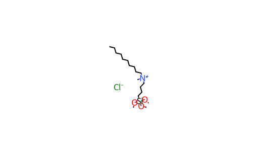 CCCCCCCCCC[N+](C)(C)CCCC[Si](OC)(OC)OC.[Cl-]